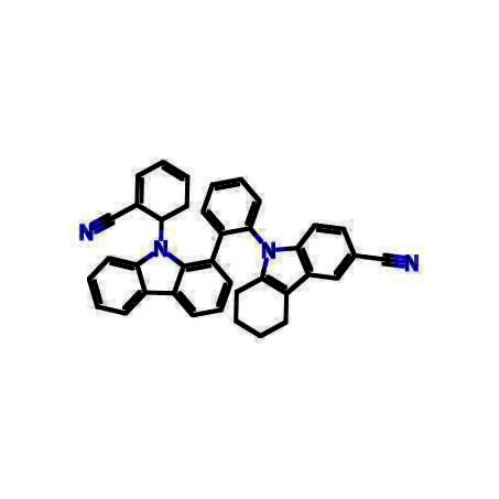 N#CC1=CC=CCC1n1c2ccccc2c2cccc(-c3ccccc3-n3c4c(c5cc(C#N)ccc53)CCCC4)c21